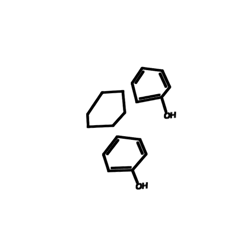 C1CCCCC1.Oc1ccccc1.Oc1ccccc1